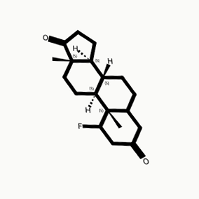 C[C@]12C(F)CC(=O)CC1CC[C@@H]1[C@@H]2CC[C@]2(C)C(=O)CC[C@@H]12